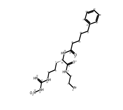 CC(C)CCNC(=O)[C@H](CCCNC(=N)N[N+](=O)[O-])NC(=O)CCCCc1ccccc1